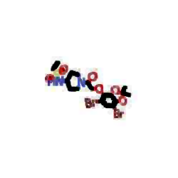 C=CS(=O)(=O)NC1CCN(C(=O)COc2c(Br)cc(Br)c3c2OC(C)(C)O3)CC1